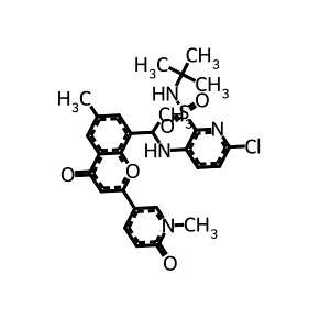 Cc1cc(C(C)Nc2ccc(Cl)nc2S(=O)(=O)NC(C)(C)C)c2oc(-c3ccc(=O)n(C)c3)cc(=O)c2c1